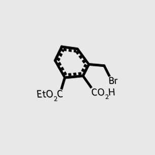 CCOC(=O)c1cccc(CBr)c1C(=O)O